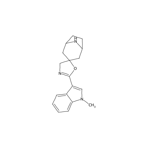 Cn1cc(C2=NCC3(CC4CCC(C3)N4)O2)c2ccccc21